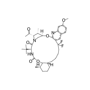 COc1ccc2cc3c(nc2c1)O[C@H]1CN(C(=O)[C@H](C(C)(C)C)NC(=O)O[C@H]2[C@H](CCCCC3(F)F)CCC[C@H]2C)[C@H](C(C)=O)[C@@H]1C